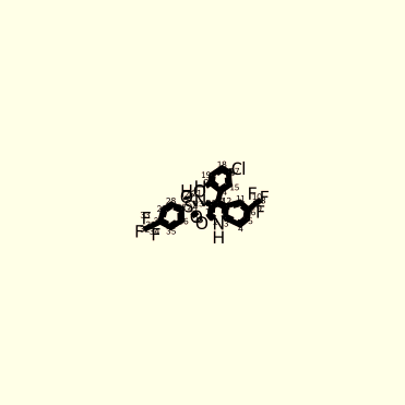 O=c1[nH]c2ccc(C(F)(F)F)cc2c(-c2cc(Cl)ccc2O)c1NS(=O)(=O)c1ccc(C(F)(F)F)cc1